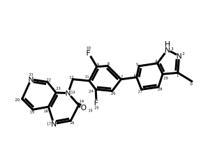 Cc1n[nH]c2cc(-c3cc(F)c(Cn4c(=O)cnc5ccncc54)c(F)c3)ccc12